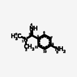 CN(C)C(=N)c1ccc(N)cc1